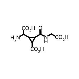 NC(C(=O)O)C1C(C(=O)O)C1C(=O)NCC(=O)O